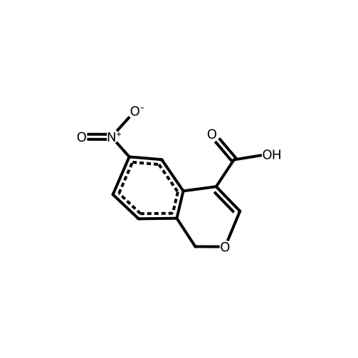 O=C(O)C1=COCc2ccc([N+](=O)[O-])cc21